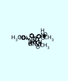 CN1CCN(CCNC(=O)c2cc3c(-c4cc(NS(C)(=O)=O)ccc4Oc4ccccc4)nn(C)c(=O)c3[nH]2)CC1